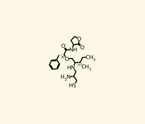 CC[C@H](C)C(CO[C@H](Cc1ccccc1)C(=O)NC1CCOC1=O)NCC(N)CS